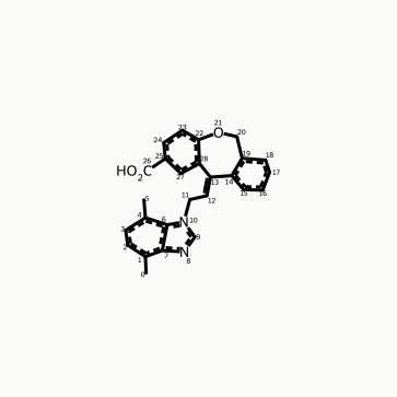 Cc1ccc(C)c2c1ncn2C/C=C1/c2ccccc2COc2ccc(C(=O)O)cc21